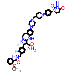 COc1ccccc1C(=O)NCc1ccc(-c2nn3c(c2C(N)=O)Nc2ccc(N4CCN(CC5CCN(c6ccc(N7CCC(=O)NC7=O)cc6)CC5)CC4)cc2CC3)c(F)c1F